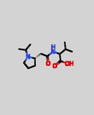 CC(C)C(NC(=O)C[C@@H]1CCCN1C(C)C)C(=O)O